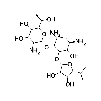 CC(C)[C@H]1O[C@@H](OC2C(O)[C@H](N)CC(N)[C@H]2O[C@H]2OC([C@@H](C)O)[C@@H](O)C(O)C2N)C(O)C1O